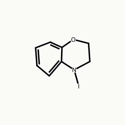 IN1CCOc2ccccc21